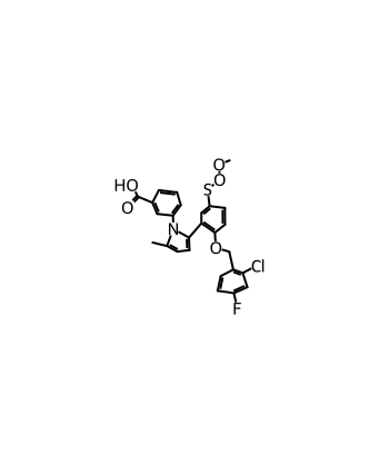 COOSc1ccc(OCc2ccc(F)cc2Cl)c(-c2ccc(C)n2-c2cccc(C(=O)O)c2)c1